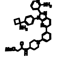 COCC(=O)NC1CCN(c2cccc(-c3ccc4nc(-c5cccnc5N)n(-c5ccc(C6(N)CCC6)cc5)c4n3)c2)CC1